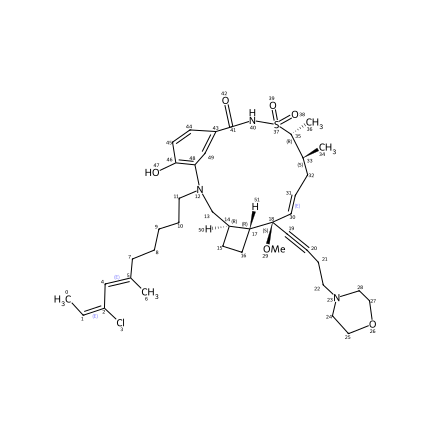 C/C=C(Cl)\C=C(/C)CCCCCN1C[C@@H]2CC[C@H]2[C@](C#CCCN2CCOCC2)(OC)/C=C/C[C@H](C)[C@@H](C)S(=O)(=O)NC(=O)c2ccc(O)c1c2